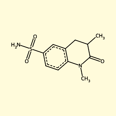 CC1Cc2cc(S(N)(=O)=O)ccc2N(C)C1=O